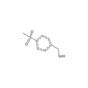 CS(=O)(=O)c1ccc([CH2][SnH])cc1